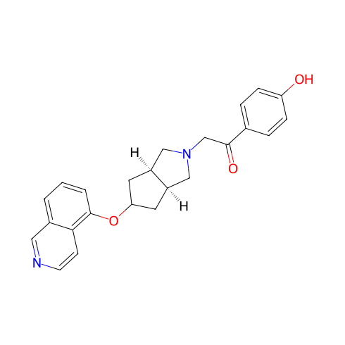 O=C(CN1C[C@H]2CC(Oc3cccc4cnccc34)C[C@H]2C1)c1ccc(O)cc1